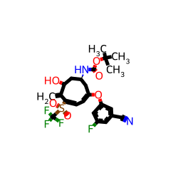 C=C1/C(S(=O)(=O)C(F)(F)F)=C\C=C(\Oc2cc(F)cc(C#N)c2)C[C@@H](NC(=O)OC(C)(C)C)CC1O